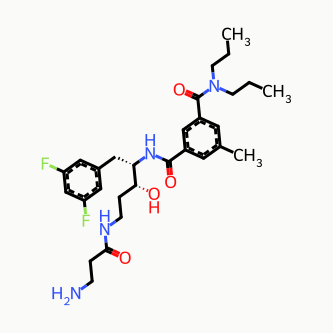 CCCN(CCC)C(=O)c1cc(C)cc(C(=O)N[C@@H](Cc2cc(F)cc(F)c2)[C@H](O)CCNC(=O)CCN)c1